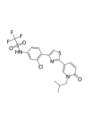 CC(C)Cn1cc(-c2nc(-c3ccc(NS(=O)(=O)C(F)(F)F)cc3Cl)cs2)ccc1=O